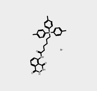 Cc1ccc([P+](CCCCCC(=O)Nc2cccc3c(=O)[nH][nH]c(=O)c23)(c2ccc(C)cc2)c2ccc(C)cc2)cc1.[Br-]